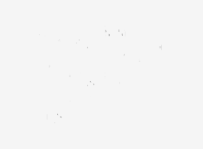 NCCCn1c(=O)c2c(CO)[nH]nc2c2cc(Cl)ccc21